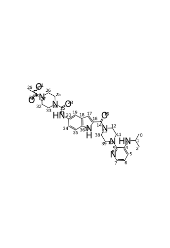 CC(C)Nc1cccnc1N1CCN(C(=O)c2cc3cc(NC(=O)N4CCN(S(C)(=O)=O)CC4)ccc3[nH]2)CC1